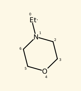 C[CH]N1CCOCC1